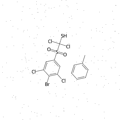 Cc1ccccc1.O=S(=O)(c1cc(Cl)c(Br)c(Cl)c1)C(S)(Cl)Cl